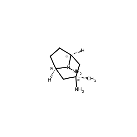 C[C@]1(N)C[C@H]2CC[C@@H](C1)N2N